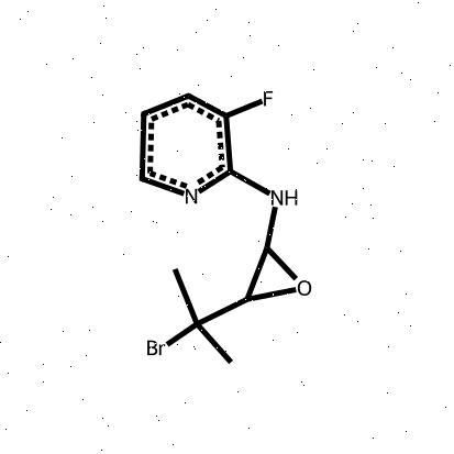 CC(C)(Br)C1OC1Nc1ncccc1F